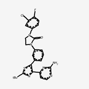 CC(C)(C)c1nc(-c2ccnc(N)n2)c(-c2cccc(N3CCN(c4ccc(F)c(Cl)c4)C3=O)c2)s1